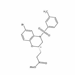 COC(=O)CC[C@H]1CN(S(=O)(=O)c2cccc(C)c2)c2cc(Br)ccc2O1